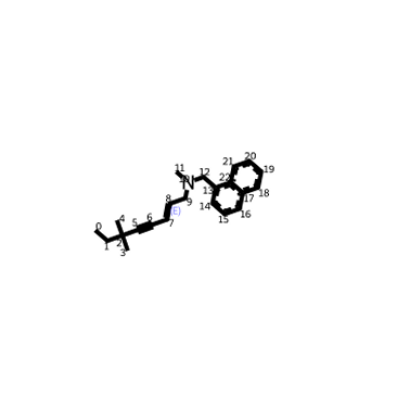 CCC(C)(C)C#C/C=C/CN(C)Cc1cccc2ccccc12